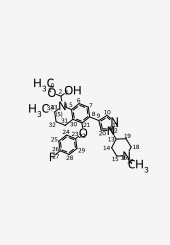 COC(O)N1c2ccc(-c3cnn(C4CCN(C)CC4)c3)c(Oc3ccc(F)cc3)c2CC[C@@H]1C